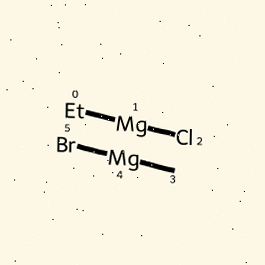 C[CH2][Mg][Cl].[CH3][Mg][Br]